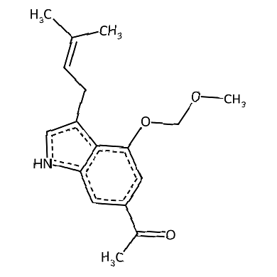 COCOc1cc(C(C)=O)cc2[nH]cc(CC=C(C)C)c12